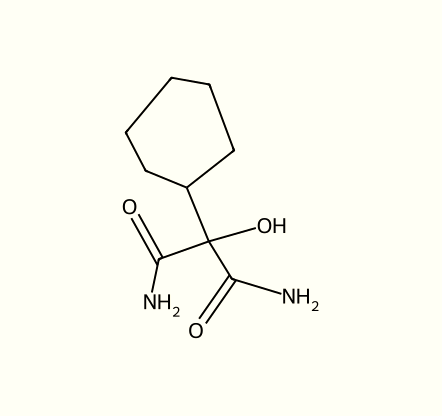 NC(=O)C(O)(C(N)=O)C1CCCCC1